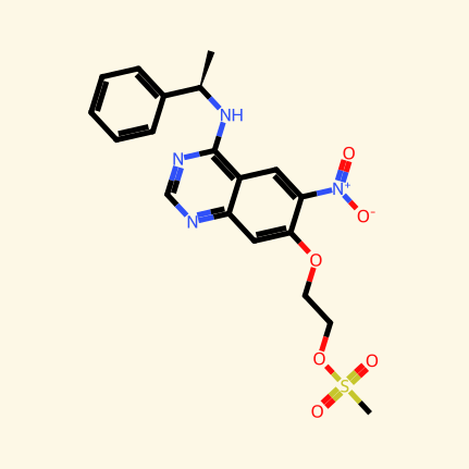 C[C@@H](Nc1ncnc2cc(OCCOS(C)(=O)=O)c([N+](=O)[O-])cc12)c1ccccc1